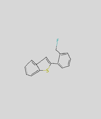 FCc1ccccc1-c1cc2ccccc2s1